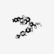 C[C@H]1CN(C2COC2)CCN1c1ccc(Nc2nn(-c3ccnc(N4CCn5c(cc6c5CC(C)(C)C6)C4=O)c3CO)cc2C(N)=O)nc1